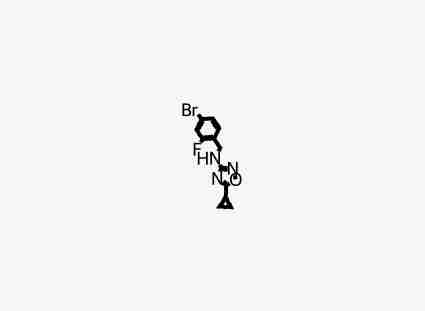 Fc1cc(Br)ccc1CNc1noc(C2CC2)n1